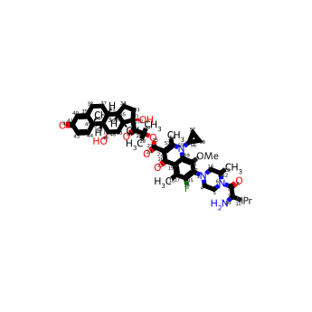 COc1c(N2CCN(C(=O)C(N)C(C)C)C(C)C2)c(F)c(C)c2c(=O)c(C(=O)OC(C)(C)C(=O)[C@@]3(O)CC[C@H]4[C@@H]5CCC6=CC(=O)C=C[C@]6(C)[C@H]5[C@@H](O)C[C@@]43C)c(C)n(C3CC3)c12